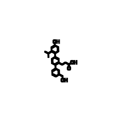 CC(C)c1cc(O)ccc1-c1ccc(-c2cccc(CO)c2)c(CCC(=O)O)c1